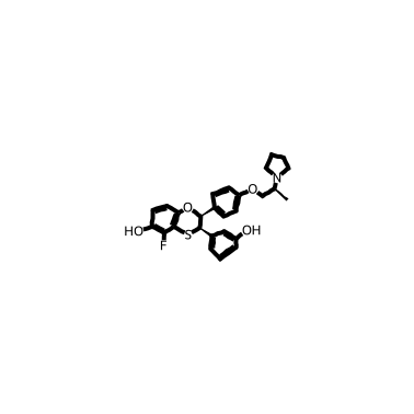 C[C@@H](COc1ccc([C@@H]2Oc3ccc(O)c(F)c3S[C@@H]2c2cccc(O)c2)cc1)N1CCCC1